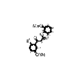 COc1ccc(Br)c(C(=O)CC2Oc3cccc(OC)c3O2)c1